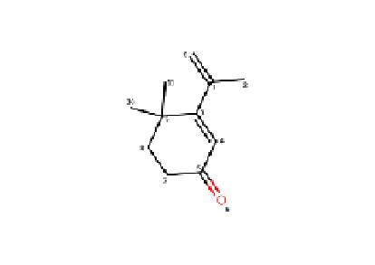 C=C(C)C1=CC(=O)CCC1(C)C